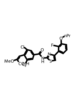 CCCOc1cccc(-c2csc(NC(=O)c3cc(Cl)c(C=C(OC)C(=O)O)c(Cl)c3)n2)c1F